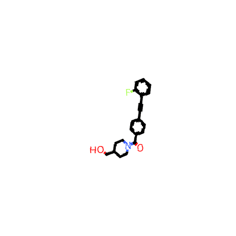 O=C(c1ccc(C#Cc2ccccc2F)cc1)N1CCC(CO)CC1